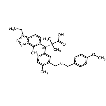 CCn1nnc2c(C)c([C@@H](c3ccc(C)c(COCc4ccc(OC)cc4)c3)C(C)(C)C(=O)O)ccc21